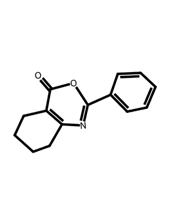 O=c1oc(-c2ccccc2)nc2c1CCCC2